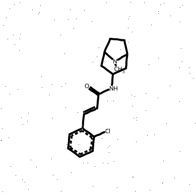 CN1C2CCC1CC(NC(=O)C=Cc1ccccc1Cl)C2